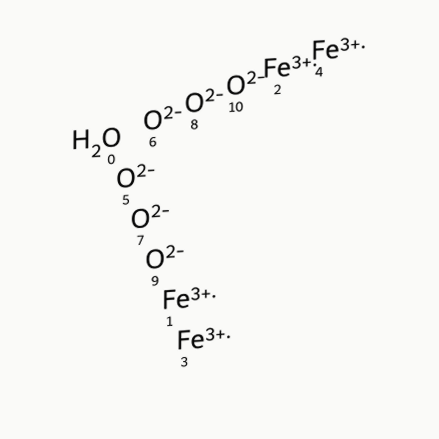 O.[Fe+3].[Fe+3].[Fe+3].[Fe+3].[O-2].[O-2].[O-2].[O-2].[O-2].[O-2]